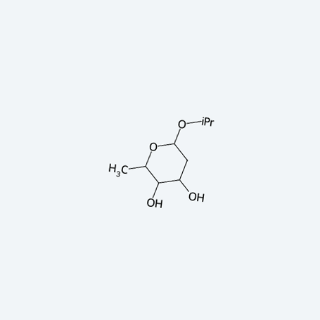 CC(C)OC1CC(O)C(O)C(C)O1